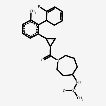 Cc1cccc(C2CC2C(=O)N2CCCC(N[S+](C)[O-])CC2)c1C1CC=CC=C1F